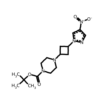 CC(C)(C)OC(=O)N1CCN(C2CC(n3cc([N+](=O)[O-])cn3)C2)CC1